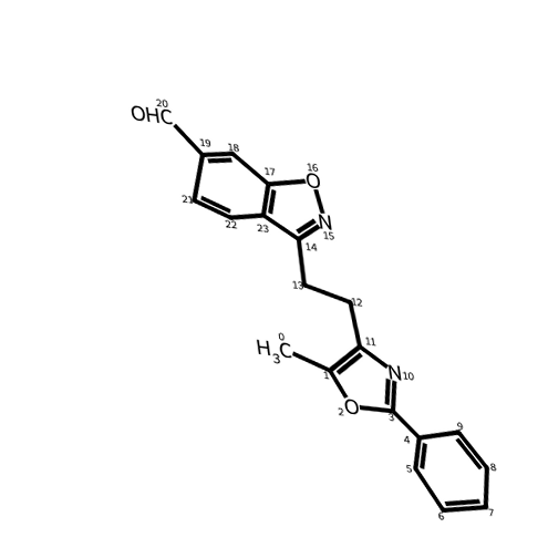 Cc1oc(-c2ccccc2)nc1CCc1noc2cc(C=O)ccc12